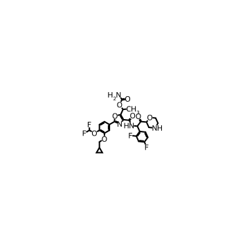 CC(OC(N)=O)c1oc(-c2ccc(OC(F)F)c(OCC3CC3)c2)nc1C(=O)NC(C(=O)C1CNCCO1)c1ccc(F)cc1F